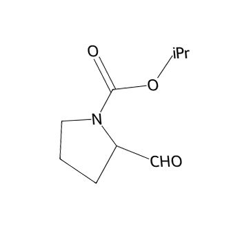 CC(C)OC(=O)N1CCCC1C=O